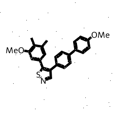 COc1ccc(-c2ccc(-c3cnsc3-c3cc(C)c(C)c(OC)c3)cc2)cc1